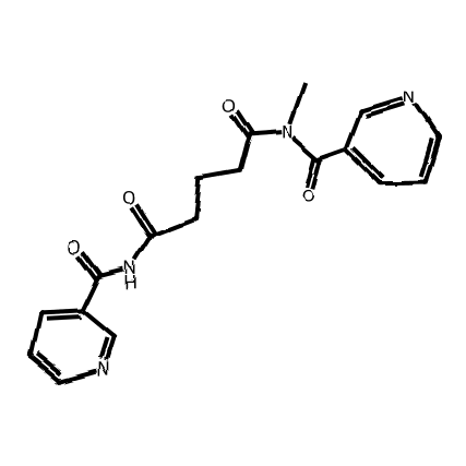 CN(C(=O)CCCC(=O)NC(=O)c1cccnc1)C(=O)c1cccnc1